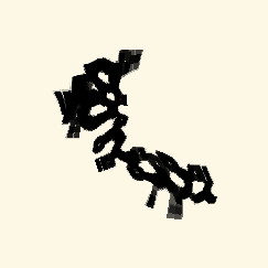 CC(C)C[C@H](NC(=O)[C@H](C)OC(=O)[C@@H](O)CC(=O)OC1=CC[C@@]2(O)[C@H]3Cc4ccc(O)c5c4[C@@]2(CCN3C)[C@H]1O5)C(=O)O